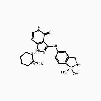 N#C[C@H]1CCCC[C@@H]1n1nc(Nc2ccc3c(c2)CNS3(O)O)c2c(=O)[nH]ccc21